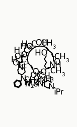 C=C(NC1(NC)CCN(CC(C)C)CC1)C(=O)[C@@]1(C)O/C=C/[C@H](CC)[C@@H](C)[C@@H](OC(=O)CC(=O)N2CCC(N(C)c3ccccc3)CC2)[C@H](C)[C@H](O)[C@H](C)[C@@H](O)[C@@H](C)/C=C/C=C(/C)C(=O)N/C(C)=C(\CCCCO)O1